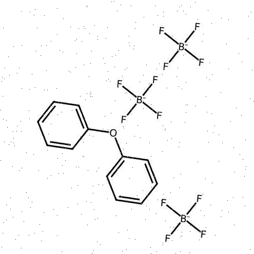 F[B-](F)(F)F.F[B-](F)(F)F.F[B-](F)(F)F.c1ccc(Oc2ccccc2)cc1